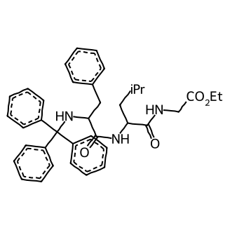 CCOC(=O)CNC(=O)C(CC(C)C)NC(=O)C(Cc1ccccc1)NC(c1ccccc1)(c1ccccc1)c1ccccc1